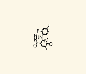 Cc1cc(C(N)=O)c(Nc2ccc(I)cc2F)n(C)c1=O